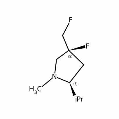 CC(C)[C@@H]1C[C@@](F)(CF)CN1C